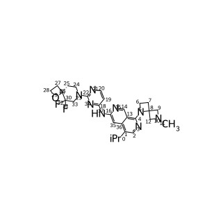 CC(C)c1cnc(N2CCC23CN(C)C3)c2cnc(Nc3ccnc(N4CC[C@]5(CCO5)C(F)(F)C4)n3)cc12